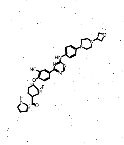 N#Cc1cc(-c2ncnc(Nc3ccc(N4CCN(C5COC5)CC4)cc3)n2)ccc1O[C@H]1CCC(C(=O)[C@@H]2CCCN2)C[C@H]1F